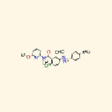 CCOc1cccc(N(C)C(=O)c2c(Cl)ccc(NSc3ccc(C(C)(C)C)cc3)c2C=O)n1